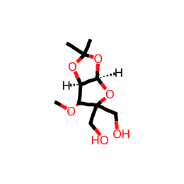 CO[C@@H]1[C@H]2OC(C)(C)O[C@H]2OC1(CO)CO